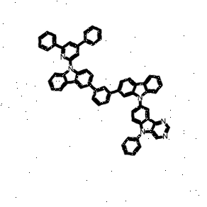 c1ccc(-c2cc(-c3ccccc3)nc(-n3c4ccccc4c4cc(-c5cccc(-c6ccc7c8ccccc8n(-c8ccc9c(c8)c8ncncc8n9-c8ccccc8)c7c6)c5)ccc43)c2)cc1